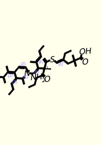 C=C(S/C=C(\CC)CC(C)(C)C(=O)O)[C@](C)(C(=O)CCC)C(/C(C)=C/CC)=C(N)/N=C(C)/C(=C\CC)C(/C=C\C)=C(/C)C(C)C